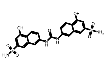 NS(=O)(=O)c1cc(O)c2ccc(NC(=O)Nc3ccc4c(O)cc(S(N)(=O)=O)cc4c3)cc2c1